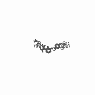 Cc1cc(NC(=O)OC(C)(C)C)nc(C)c1-c1cccc(COc2ccc(Cn3oc(=O)[nH]c3=O)cc2)c1C